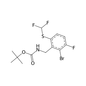 CC(C)(C)OC(=O)NCc1c(SC(F)F)ccc(F)c1Br